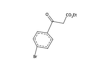 CCOC(=O)CC(=O)c1ccc(Br)cc1